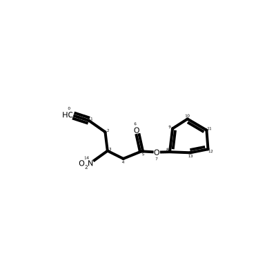 C#CCC(CC(=O)Oc1ccccc1)[N+](=O)[O-]